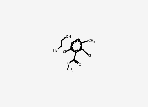 COC(=O)c1c(Cl)ccc(C)c1Cl.OCCS